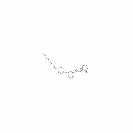 CCCCOCCC1CCN(c2cncc(OC[C@H]3CCCN3C)c2)CC1